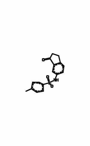 Cc1ccc(S(=O)(=O)Nc2ccc3c(c2)C(=O)CC3)cc1